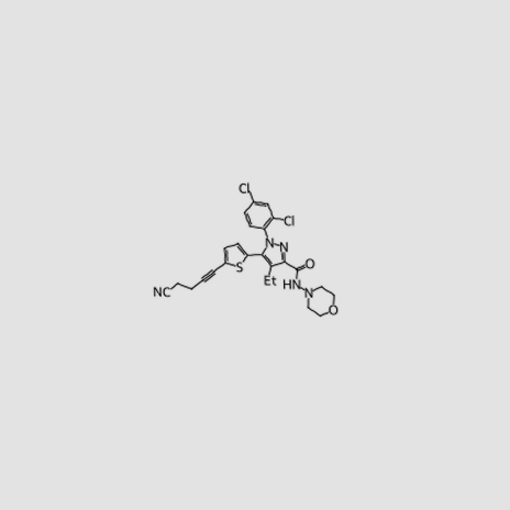 CCc1c(C(=O)NN2CCOCC2)nn(-c2ccc(Cl)cc2Cl)c1-c1ccc(C#CCCC#N)s1